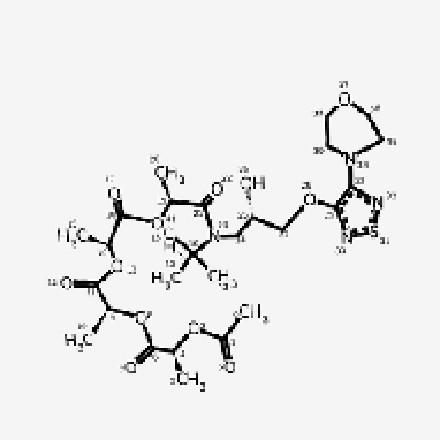 CC(=O)O[C@@H](C)C(=O)O[C@@H](C)C(=O)O[C@@H](C)C(=O)O[C@@H](C)C(=O)N(C[C@H](O)COc1nsnc1N1CCOCC1)C(C)(C)C